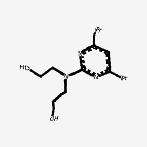 CC(C)c1cc(C(C)C)nc(N(CCO)CCO)n1